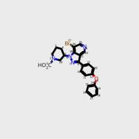 O=C(O)N1CCCC(n2nc(-c3ccc(Oc4ccccc4)cc3)c3cncc(Br)c32)C1